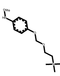 CONc1ccc(OCOCC[Si](C)(C)C)cc1